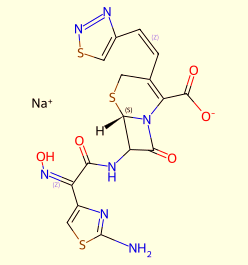 Nc1nc(/C(=N/O)C(=O)NC2C(=O)N3C(C(=O)[O-])=C(/C=C\c4csnn4)CS[C@@H]23)cs1.[Na+]